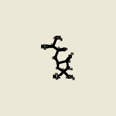 C=C(C)C(=O)OC1CC(C)(C)OC1=O